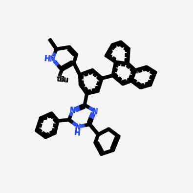 CC1C=CC(c2cc(C3=NC(c4ccccc4)NC(C4C=CC=CC4)=N3)cc(-c3cc4ccccc4c4ccccc34)c2)=C(C(C)(C)C)N1